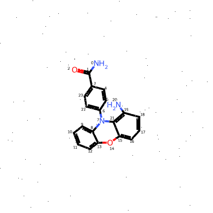 NC(=O)c1ccc(N2c3ccccc3Oc3cccc(N)c32)cc1